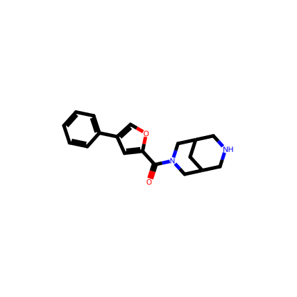 O=C(c1cc(-c2ccccc2)co1)N1CC2CNCC(C2)C1